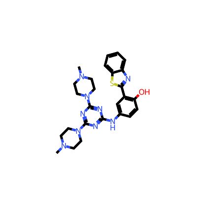 CN1CCN(c2nc(Nc3ccc(O)c(-c4nc5ccccc5s4)c3)nc(N3CCN(C)CC3)n2)CC1